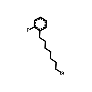 Fc1ccccc1CCCCCCCBr